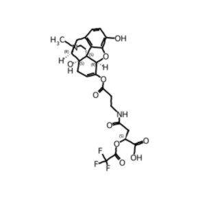 CN1CC[C@]23c4c5ccc(O)c4O[C@H]2C(OC(=O)CCNC(=O)C[C@H](OC(=O)C(F)(F)F)C(=O)O)=CC[C@@]3(O)[C@H]1C5